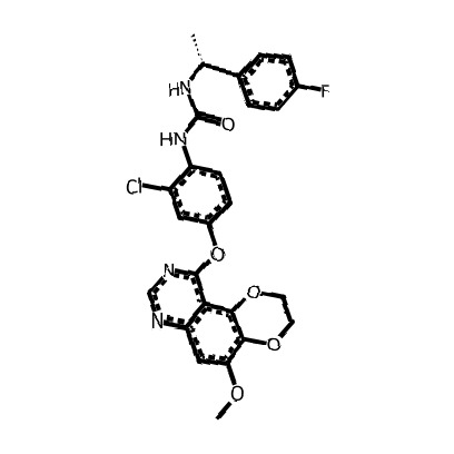 COc1cc2ncnc(Oc3ccc(NC(=O)N[C@H](C)c4ccc(F)cc4)c(Cl)c3)c2c2c1OCCO2